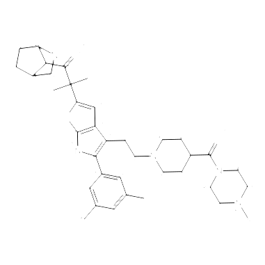 Cc1cc(C)cc(-c2[nH]c3sc(C(C)(C)C(=O)C4C5CCC4NC5)cc3c2CCN2CCC(C(=O)N3CCN(C)CC3)CC2)c1